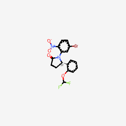 O=C1CC[C@@H](c2ccccc2OC(F)F)N1c1cc(Br)ccc1[N+](=O)[O-]